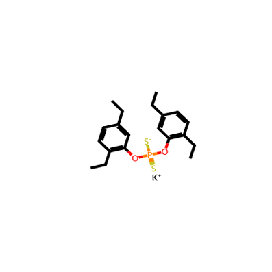 CCc1ccc(CC)c(OP(=S)([S-])Oc2cc(CC)ccc2CC)c1.[K+]